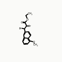 CCOC(=O)C(Br)C(Br)c1ccc2c(OC)cccc2c1